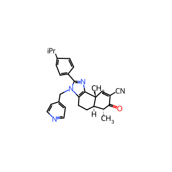 CC(C)c1ccc(-c2nc3c(n2Cc2ccncc2)CC[C@@H]2[C@@H](C)C(=O)C(C#N)=C[C@@]32C)cc1